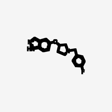 Fc1ccc(CN2CCC(Oc3ccc4[nH]ncc4c3)C2)cc1